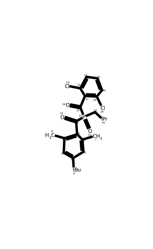 Cc1cc(C(C)(C)C)cc(C)c1C(=O)P(=O)(CC(C)C)C(=O)c1c(Cl)cccc1Cl